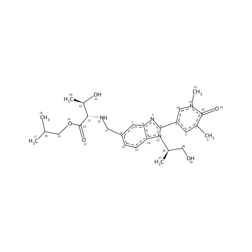 Cc1cc(-c2nc3cc(CN[C@H](C(=O)OCC(C)C)[C@@H](C)O)ccc3n2[C@H](C)CO)cn(C)c1=O